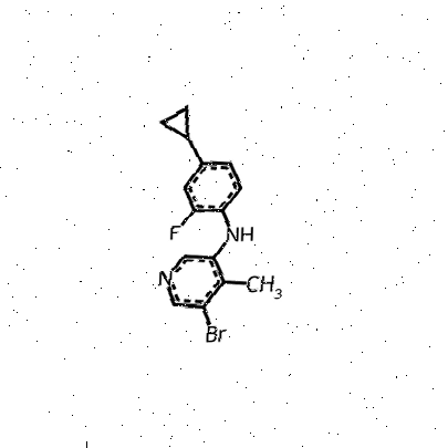 Cc1c(Br)cncc1Nc1ccc(C2CC2)cc1F